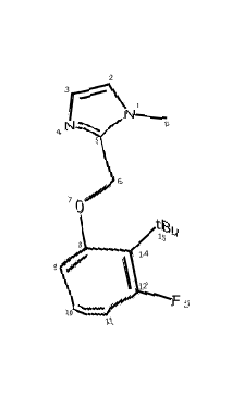 Cn1ccnc1COc1cccc(F)c1C(C)(C)C